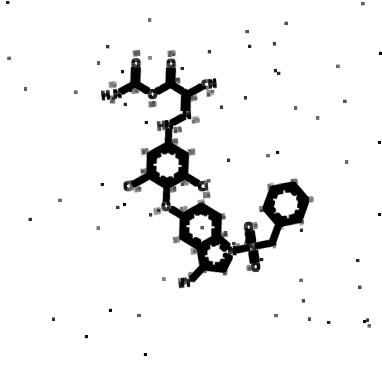 CC(C)c1cn(S(=O)(=O)Cc2ccccc2)c2ccc(Oc3c(Cl)cc(NN=C(C#N)C(=O)OC(N)=O)cc3Cl)cc12